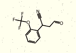 N#CC(CC=O)c1ccccc1OC(F)(F)F